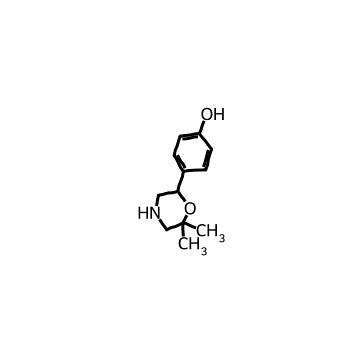 CC1(C)CNCC(c2ccc(O)cc2)O1